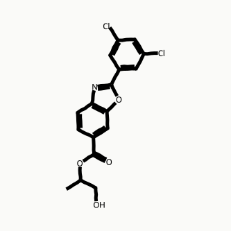 CC(CO)OC(=O)c1ccc2nc(-c3cc(Cl)cc(Cl)c3)oc2c1